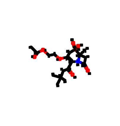 CC(=O)OCCOC1=C(C(=O)CC(C)(C)C)N2C(=O)C[C@H]2S(=O)(=O)C1